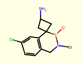 CCN1Cc2ccc(Cl)cc2C2(CC(N)C2)[S+]1[O-]